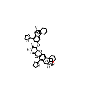 O=C(O)C(Oc1cc(C2=NCCS2)c2c(c1)[C@@]13CCCC[C@H]1[C@@H](C2)NCC3)C(Oc1cc(C2=NCCS2)c2c(c1)[C@@]13CCCC[C@H]1[C@@H](C2)NCC3)C(=O)O